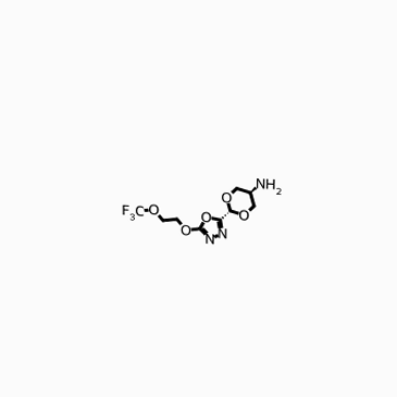 N[C@H]1CO[C@H](c2nnc(OCCOC(F)(F)F)o2)OC1